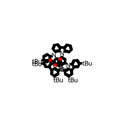 CC(C)(C)c1ccc2c(c1)c1cc(C(C)(C)C)ccc1n2-c1cccc2c3ccccc3n(-c3cc4c5c(c3)-n3c6ccc(C(C)(C)C)cc6c6cc(C(C)(C)C)cc(c63)B5c3cc(C(C)(C)C)cc5c6cc(C(C)(C)C)ccc6n-4c35)c12